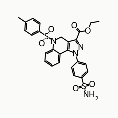 CCOC(=O)c1nn(-c2ccc(S(N)(=O)=O)cc2)c2c1CN(S(=O)(=O)c1ccc(C)cc1)c1ccccc1-2